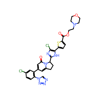 O=C(OCCN1CCOCC1)c1ccc(-c2[nH]c(C3CCc4cc(-c5cc(Cl)ccc5-n5cnnn5)cc(=O)n43)nc2Cl)s1